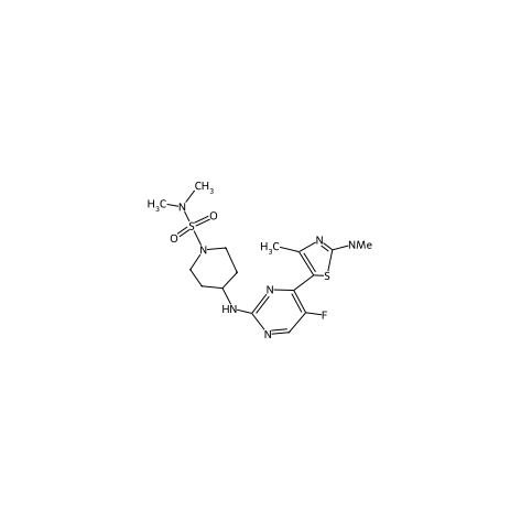 CNc1nc(C)c(-c2nc(NC3CCN(S(=O)(=O)N(C)C)CC3)ncc2F)s1